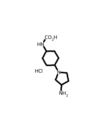 Cl.NC1CCN(C2CCC(NC(=O)O)CC2)C1